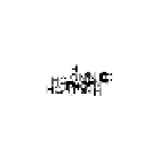 OC[C@H]1OC(n2cnc3c(NC4CCOC4)ncnc32)[C@H](O)[C@@H]1O